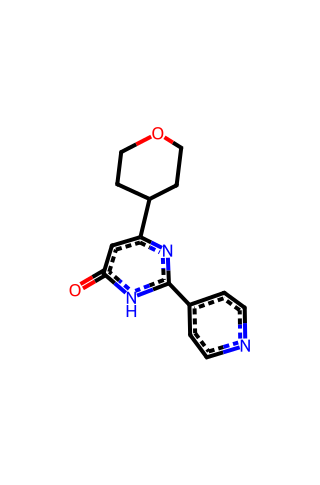 O=c1cc(C2CCOCC2)nc(-c2ccncc2)[nH]1